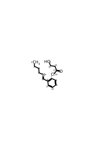 CCCCN=Cc1ccccc1.O=C(Cl)CCO